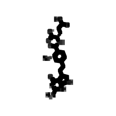 Nc1nc(=O)c2c(CCc3ccc(C(=O)N[C@@H](CCC(=O)O)C(=O)[O-])cc3)c[nH]c2[nH]1.[Na+]